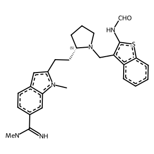 CNC(=N)c1ccc2cc(CC[C@@H]3CCCN3Cc3c(NC=O)sc4ccccc34)n(C)c2c1